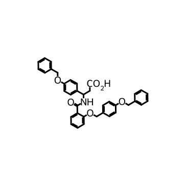 O=C(O)CC(NC(=O)c1ccccc1OCc1ccc(OCc2ccccc2)cc1)c1ccc(OCc2ccccc2)cc1